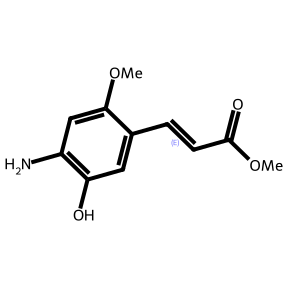 COC(=O)/C=C/c1cc(O)c(N)cc1OC